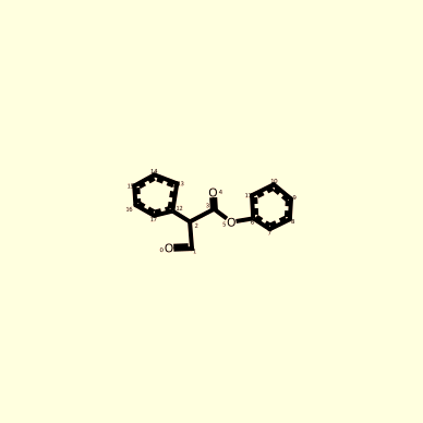 O=CC(C(=O)Oc1ccccc1)c1ccccc1